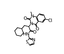 Cn1c(=O)n(C(CC2CCCCC2)C(=O)Nc2nccs2)c(=O)c2cc(Cl)ccc21